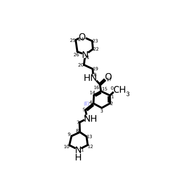 CC1=CC/C(=C\NCC2CCNCC2)C=C1C(=O)NCCN1CCOCC1